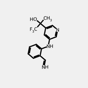 CC(O)(c1cncc(Nc2ccccc2C=N)c1)C(F)(F)F